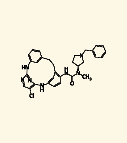 CN(C(=O)Nc1ccc2cc1CCc1cccc(c1)Nc1ncc(Cl)c(n1)N2)[C@H]1CCN(Cc2ccccc2)C1